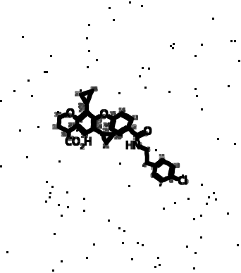 O=C(NCCc1ccc(Cl)cc1)c1ccc(Oc2c(C3CC3)cc3c(c2C2CC2)OCCC3C(=O)O)cc1